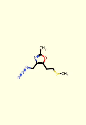 CSCCc1oc(C)nc1CN=[N+]=[N-]